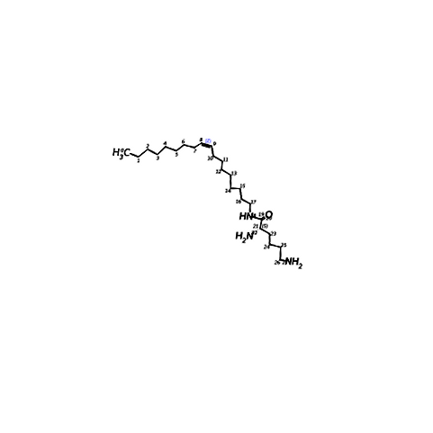 CCCCCCCC/C=C\CCCCCCCCNC(=O)[C@@H](N)CCCCN